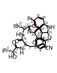 CC(C)[C@H](O)C(=O)N[C@H]1Cc2ccc3c(c2)C2(c4cc(F)ccc4NC2O3)c2oc(nc2-c2nc(C#N)co2)C(C(C)(C)C)NC1=O